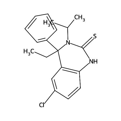 CCC1(c2ccccc2)c2cc(Cl)ccc2NC(=S)N1C(C)C